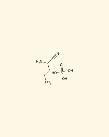 CCCC(N)C#N.O=P(O)(O)O